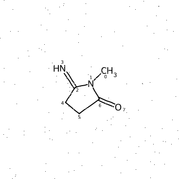 CN1C(=N)CCC1=O